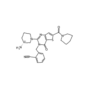 N#Cc1ccccc1Cn1c(N2CCC[C@@H](N)C2)nc2cc(C(=O)N3CCCCC3)sc2c1=O